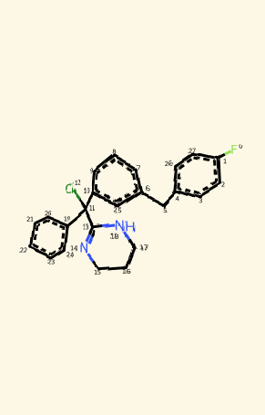 Fc1ccc(Cc2cccc(C(Cl)(C3=NCCCN3)c3ccccc3)c2)cc1